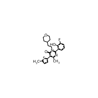 Cc1ccc(-c2c(C)nc(-c3cccc(F)c3O)n(CCC3CCOCC3)c2=O)s1